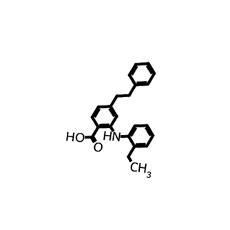 CCc1ccccc1Nc1cc(CCc2ccccc2)ccc1C(=O)O